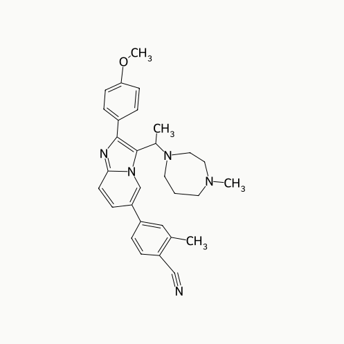 COc1ccc(-c2nc3ccc(-c4ccc(C#N)c(C)c4)cn3c2C(C)N2CCCN(C)CC2)cc1